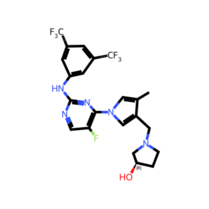 Cc1cn(-c2nc(Nc3cc(C(F)(F)F)cc(C(F)(F)F)c3)ncc2F)cc1CN1CC[C@@H](O)C1